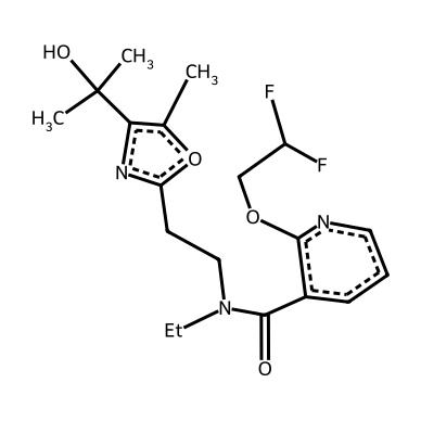 CCN(CCc1nc(C(C)(C)O)c(C)o1)C(=O)c1cccnc1OCC(F)F